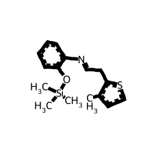 Cc1ccsc1CC=Nc1ccccc1O[Si](C)(C)C